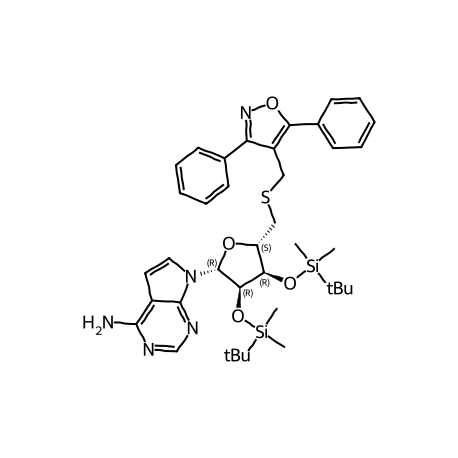 CC(C)(C)[Si](C)(C)O[C@@H]1[C@H](O[Si](C)(C)C(C)(C)C)[C@@H](CSCc2c(-c3ccccc3)noc2-c2ccccc2)O[C@H]1n1ccc2c(N)ncnc21